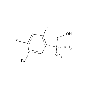 C[C@@](N)(CO)c1cc(Br)c(F)cc1F